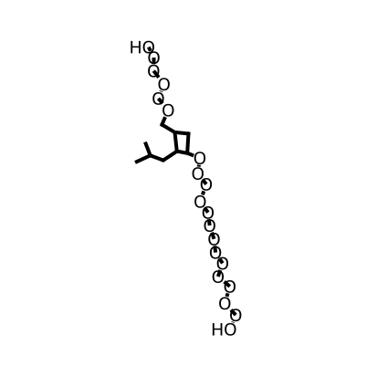 CC(C)CC1C(COOOOOO)CC1OOOOOOOOOOOOOO